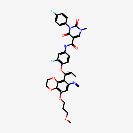 C=Nc1cc(OCCCOC)c2c(c1/C(=C\C)Oc1ccc(NC(=O)c3cn(C)c(=O)n(-c4ccc(F)cc4)c3=O)cc1F)OCCO2